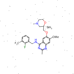 COc1cc2nc(C)nc(NCc3cccc(C(F)(F)F)c3F)c2cc1OC[C@@]1([SiH3])CN(C)CCO1